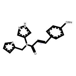 COc1ccc(/C=C/C(=O)N(Cc2cccs2)c2cn[nH]c2)cc1